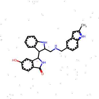 Cc1cc2cc(CNCC3Nc4ccccc4C3C3NC(=O)c4ccc(O)cc43)ccc2[nH]1